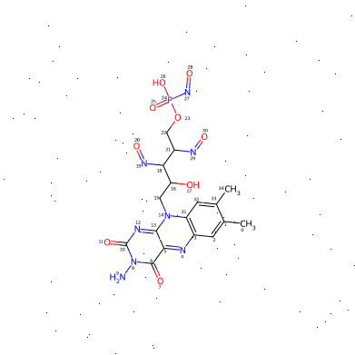 Cc1cc2nc3c(=O)n(N)c(=O)nc-3n(CC(O)C(N=O)C(COP(=O)(O)N=O)N=O)c2cc1C